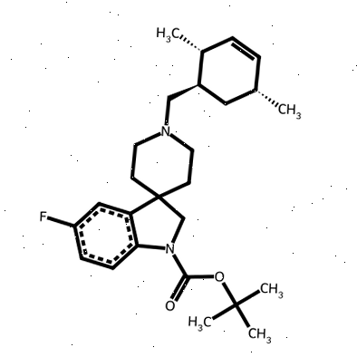 C[C@@H]1C=C[C@H](C)C[C@H]1CN1CCC2(CC1)CN(C(=O)OC(C)(C)C)c1ccc(F)cc12